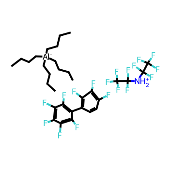 CCC[CH2][Al-]([CH2]CCC)([CH2]CCC)[CH2]CCC.FC(F)(F)C(F)(F)[NH2+]C(F)(F)C(F)(F)F.Fc1ccc(-c2c(F)c(F)c(F)c(F)c2F)c(F)c1F